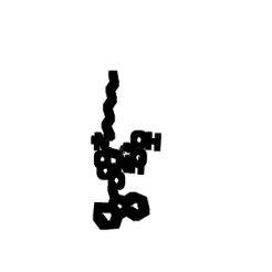 CCCCCCCCN(C)C(=O)[C@H](CC(=O)O)NC(=O)OCC1c2ccccc2-c2ccccc21